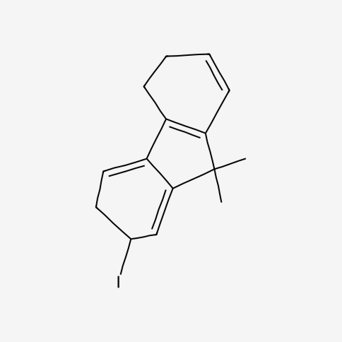 CC1(C)C2=CC(I)CC=C2C2=C1C=CCC2